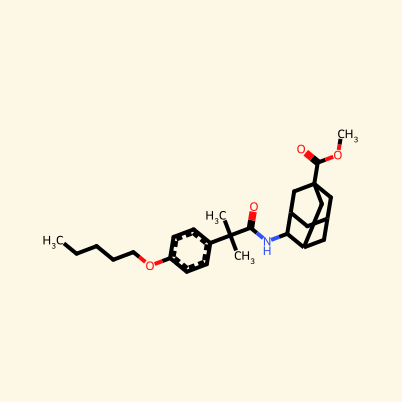 CCCCCOc1ccc(C(C)(C)C(=O)NC2C3CC4CC2CC(C(=O)OC)(C4)C3)cc1